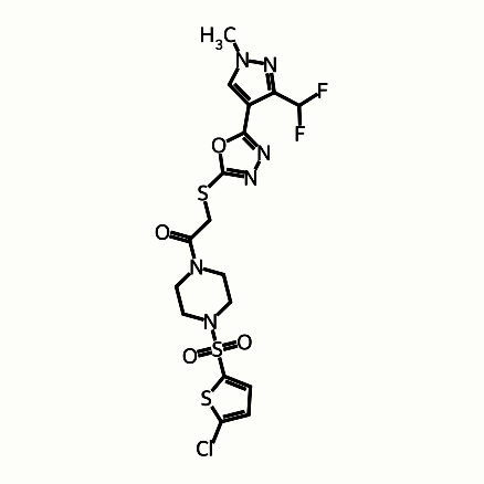 Cn1cc(-c2nnc(SCC(=O)N3CCN(S(=O)(=O)c4ccc(Cl)s4)CC3)o2)c(C(F)F)n1